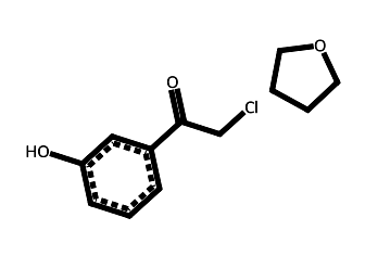 C1CCOC1.O=C(CCl)c1cccc(O)c1